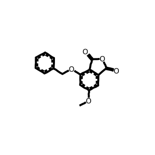 COc1cc(OCc2ccccc2)c2c(c1)C(=O)OC2=O